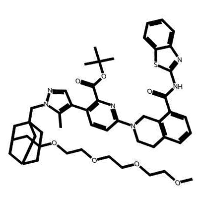 COCCOCCOCCOC12CC3CC(CC(Cn4ncc(-c5ccc(N6CCc7cccc(C(=O)Nc8nc9ccccc9s8)c7C6)nc5C(=O)OC(C)(C)C)c4C)(C3)C1)C2